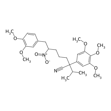 COc1ccc(CC(CCCC(C#N)(c2cc(OC)c(OC)c(OC)c2)C(C)C)[N+](=O)[O-])cc1OC